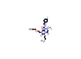 C#CCOCCN1C[C@H]2N(C(=O)CN(C)N2C(=O)NCc2ccc(F)cc2)[C@@H](CCCC)C1=O